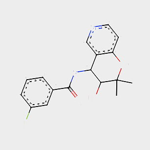 CC1(C)Oc2ccncc2C(NC(=O)c2cccc(F)c2)C1O